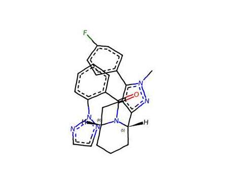 Cn1nc2c(c1-c1ccc(F)cc1)C[C@H]1CCC[C@@H]2N1C(=O)c1ccccc1-n1nccn1